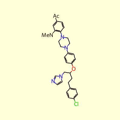 CNc1cc(C(C)=O)ccc1N1CCN(c2ccc(OC(CCc3ccc(Cl)cc3)Cn3ccnc3)cc2)CC1